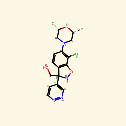 C[C@@H]1CN(c2ccc3c(c2Cl)ONC3(CO)c2ccnnc2)C[C@H](C)O1